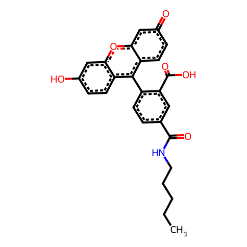 CCCCCNC(=O)c1ccc(-c2c3ccc(=O)cc-3oc3cc(O)ccc23)c(C(=O)O)c1